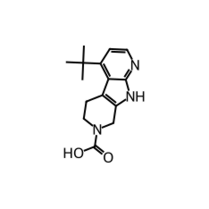 CC(C)(C)c1ccnc2[nH]c3c(c12)CCN(C(=O)O)C3